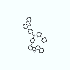 c1ccc(-c2cccc(N(c3ccc(-c4cccc5c4oc4ccccc45)cc3)c3ccc(-c4cccc5oc6c7ccccc7ccc6c45)cc3)c2)cc1